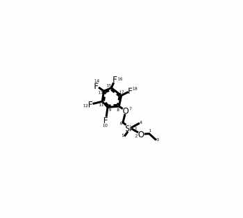 CCO[Si](C)(C)COc1c(F)c(F)c(F)c(F)c1F